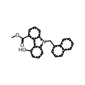 COC(=O)c1cccc2c1c1c(O)cccc1n2Cc1cccc2ccccc12